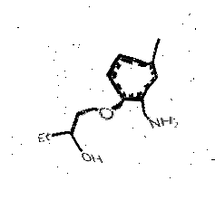 CCC(O)COc1ccc(C)cc1N